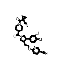 N#Cc1ccc(OCCC2CN(C(=O)C3CCN(C(=O)C4(C#N)CC4)CC3)CC2c2ccc(Cl)c(Cl)c2)nc1